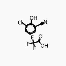 N#Cc1cccc(Cl)c1O.O=C(O)C(F)(F)F